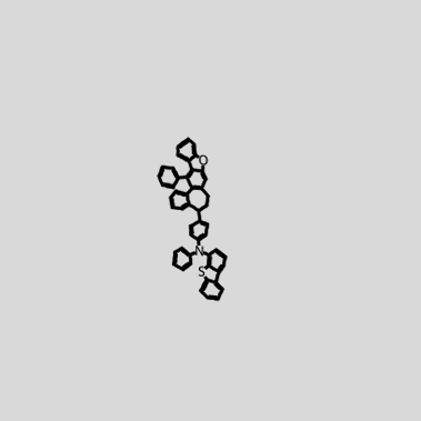 c1ccc(-c2c3c(cc4oc5ccccc5c24)CCC(c2ccc(N(c4ccccc4)c4cccc5c4sc4ccccc45)cc2)c2ccccc2-3)cc1